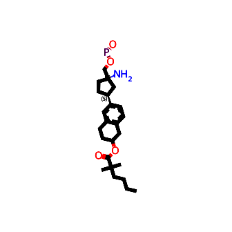 CCCCC(C)(C)C(=O)OC1CCc2cc([C@H]3CC[C@@](N)(COP=O)C3)ccc2C1